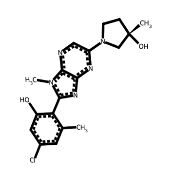 Cc1cc(Cl)cc(O)c1-c1nc2nc(N3CC[C@](C)(O)C3)cnc2n1C